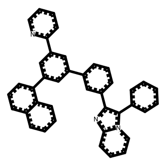 c1ccc(-c2c(-c3cccc(-c4cc(-c5ccccn5)cc(-c5cccc6ccccc56)c4)c3)nc3ccccn23)cc1